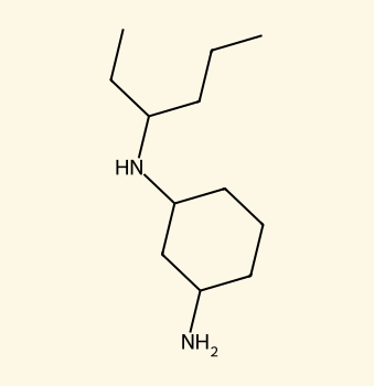 CCCC(CC)NC1CCCC(N)C1